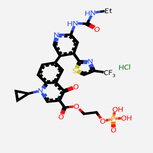 CCNC(=O)Nc1cc(-c2nc(C(F)(F)F)cs2)c(-c2ccc3c(c2)c(=O)c(C(=O)OCCOP(=O)(O)O)cn3C2CC2)cn1.Cl